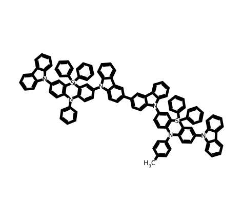 Cc1ccc(N2c3ccc(-n4c5ccccc5c5ccccc54)cc3[Si](c3ccccc3)(c3ccccc3)c3cc(-n4c5ccccc5c5cc(-c6ccc7c(c6)c6ccccc6n7-c6ccc7c(c6)[Si](c6ccccc6)(c6ccccc6)c6cc(-n8c9ccccc9c9ccccc98)ccc6N7c6ccccc6)ccc54)ccc32)cc1